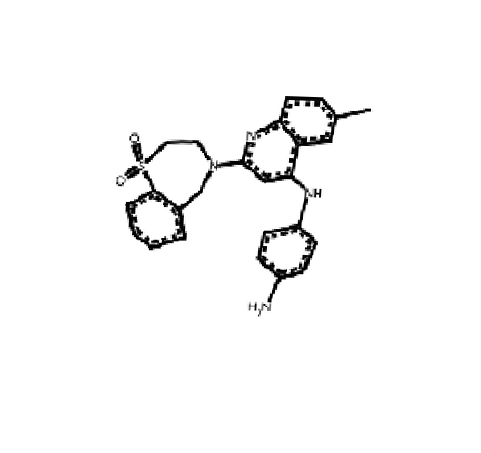 Cc1ccc2nc(N3CCS(=O)(=O)c4ccccc4C3)cc(Nc3ccc(N)cc3)c2c1